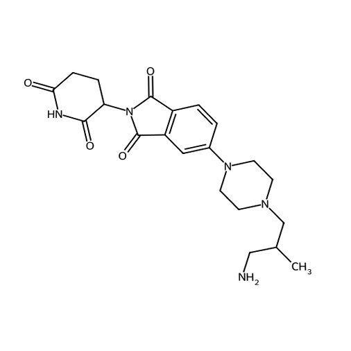 CC(CN)CN1CCN(c2ccc3c(c2)C(=O)N(C2CCC(=O)NC2=O)C3=O)CC1